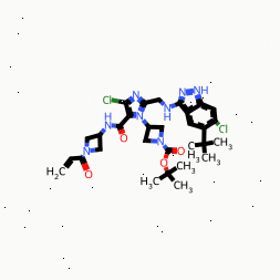 C=CC(=O)N1CC(NC(=O)c2c(Cl)nc(CNc3n[nH]c4cc(Cl)c(C(C)(C)C)cc34)n2C2CN(C(=O)OC(C)(C)C)C2)C1